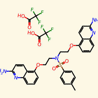 Cc1ccc(S(=O)(=O)N(CCOc2cccc3nc(N)ccc23)CCOc2cccc3nc(N)ccc23)cc1.O=C(O)C(F)(F)F.O=C(O)C(F)(F)F